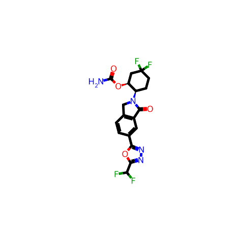 NC(=O)O[C@H]1CC(F)(F)CC[C@H]1N1Cc2ccc(-c3nnc(C(F)F)o3)cc2C1=O